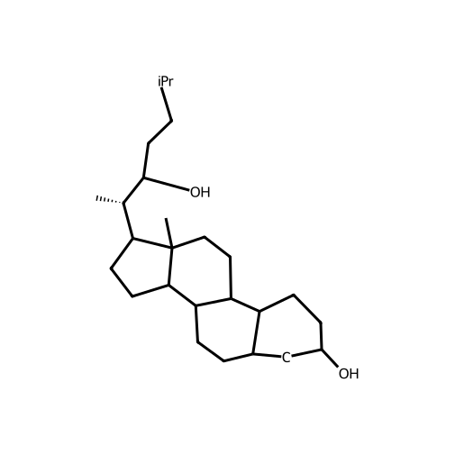 CC(C)CCC(O)[C@@H](C)C1CCC2C3CCC4CC(O)CCC4C3CCC21C